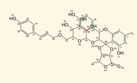 Cc1cc(O)c2c(c1)OC(c1ccc(O)cc1)C(OC1OC(COC/C=C/c3ccc(O)cc3)C(O)C(O)C1O)C21OC2=C(O1)C(C)OC2=O